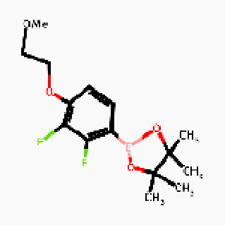 COCCOc1ccc(B2OC(C)(C)C(C)(C)O2)c(F)c1F